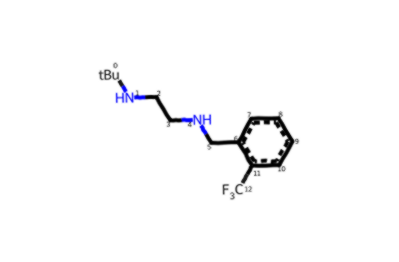 CC(C)(C)NCCNCc1ccccc1C(F)(F)F